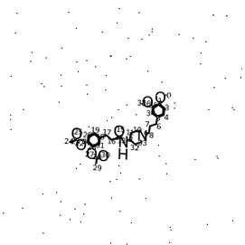 COc1ccc(CCCN2CCC(NC(=O)CCc3ccc(OC(C)=O)c(OC(C)=O)c3)CC2)cc1OC